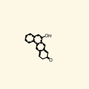 O=C1C=c2cc3c(O)cc4ccccc4c3cc2=CC1